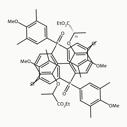 CCOC(=O)C(C)Oc1c(Cl)ccc(P(=O)(c2cc(C)c(OC)c(C)c2)c2cc(C)c(OC)c(C)c2)c1-c1c(P(=O)(c2cc(C)c(OC)c(C)c2)c2cc(C)c(OC)c(C)c2)ccc(Cl)c1O[C@@H](C)C(=O)OCC